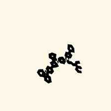 C=CC(=C\C=C\N(c1ccc(C2C=CC=CC2)cc1)c1ccc(-n2c3ccccc3c3cc(-c4ccc(-n5c6c(c7ccccc75)CCC=C6)cc4)ccc32)cc1)/C(/C=C\C)=C/C